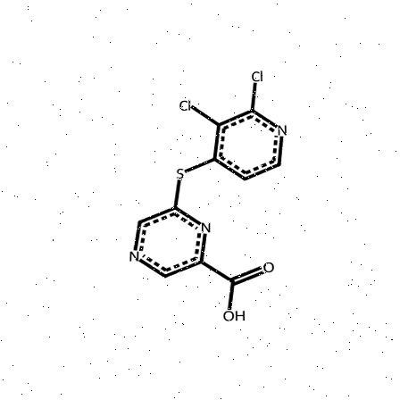 O=C(O)c1cncc(Sc2ccnc(Cl)c2Cl)n1